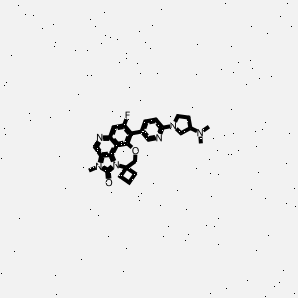 CN(C)C1CCN(c2ccc(-c3c(F)cc4ncc5c6c4c3OCC3(CCC3)n6c(=O)n5C)cn2)C1